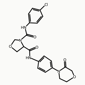 O=C(Nc1ccc(N2CCOCC2=O)cc1)C1COCN1C(=O)Nc1ccc(Cl)cc1